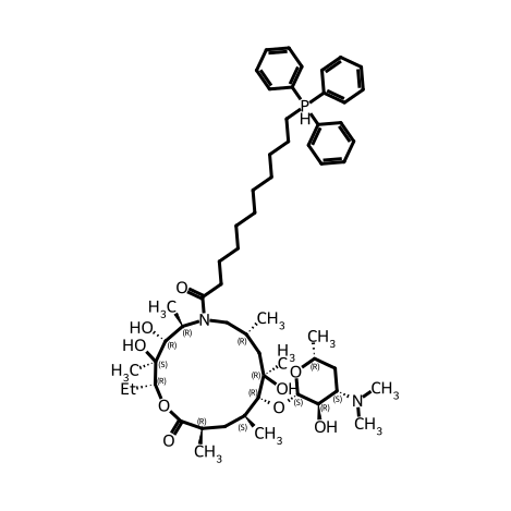 CC[C@H]1OC(=O)[C@H](C)C[C@H](C)[C@@H](O[C@@H]2O[C@H](C)C[C@H](N(C)C)[C@H]2O)[C@](C)(O)C[C@@H](C)CN(C(=O)CCCCCCCCCC[PH](c2ccccc2)(c2ccccc2)c2ccccc2)[C@H](C)[C@@H](O)[C@]1(C)O